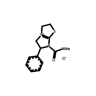 CNC(=O)N1C2=[N+](CCS2)CC1c1ccccc1.[Cl-]